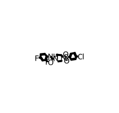 O=C(Nc1ccc(F)cc1F)N1CCN(S(=O)(=O)c2ccc(Cl)cc2)CC1